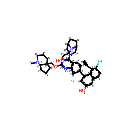 C#Cc1c(F)ccc2cc(O)cc(-c3ccc4c(N5CC6CCC(C5)N6CCO)nc(OCC56CCCC5N(C)CCC6)nc4c3F)c12